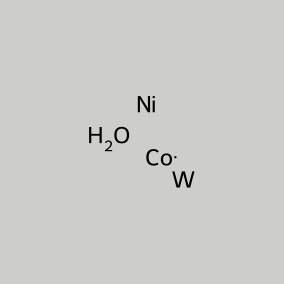 O.[Co].[Ni].[W]